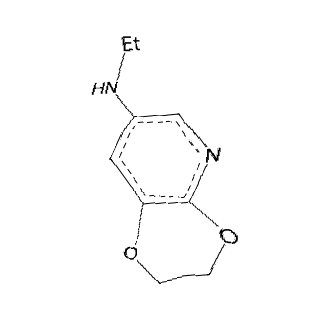 CCNc1cnc2c(c1)OCCO2